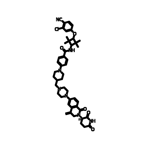 C=C1CN([C@@H]2CCC(=O)NC2=O)C(=O)c2ccc(N3CCN(CC4CCN(c5ccc(C(=O)NC6C(C)(C)C(Oc7ccc(C#N)c(Cl)c7)C6(C)C)cc5)CC4)CC3)cc21